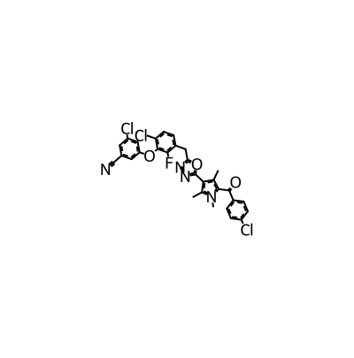 Cc1c(-c2nnc(Cc3ccc(Cl)c(Oc4cc(Cl)cc(C#N)c4)c3F)o2)c(C)n(C)c1C(=O)c1ccc(Cl)cc1